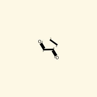 CC.O=CC=O